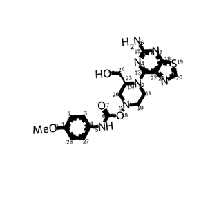 COc1ccc(NC(=O)ON2CCN(c3nc(N)nc4scnc34)[C@H](CO)C2)cc1